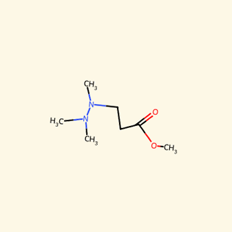 COC(=O)CCN(C)N(C)C